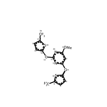 COc1cc(Oc2ccc(C(F)(F)F)s2)nc(Oc2ccc(C(F)(F)F)s2)n1